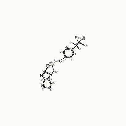 CC(C)(c1ccc(OC[C@@H]2Cn3c(nc4ncccc43)O2)cc1)C(F)(F)F